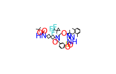 Cc1cccc(C)c1-c1nc2nc(c1C)OC[C@@H](CC1(C(F)(F)F)CC1)N([C@H]1CC3(C[C@H](NC(=O)OC(C)C)C3)C1)C(=O)c1cccc(c1)S(=O)(=O)N2